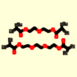 CCC(CC)C(=O)OCCOCCOCCOC(=O)C(CC)CC.CCCCC(CC)C(=O)OCCOCCOC(=O)C(CC)CCCC